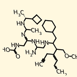 C#CC/C(=C\C=C)C(COC)C(CC1CCCCC1)NCC(N)N/C(CNC(=O)O)=N\C(C)N[C@H](C)C1CCC1